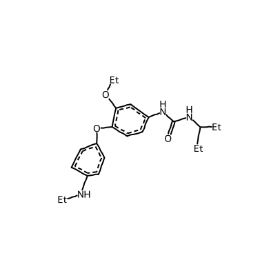 CCNc1ccc(Oc2ccc(NC(=O)NC(CC)CC)cc2OCC)cc1